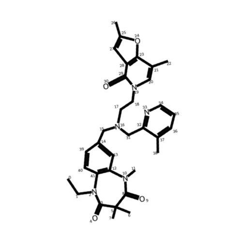 CCN1C(=O)C(C)(C)C(=O)N(C)c2cc(CN(CCn3cc(C)c4oc(C)cc4c3=O)Cc3ncccc3C)ccc21